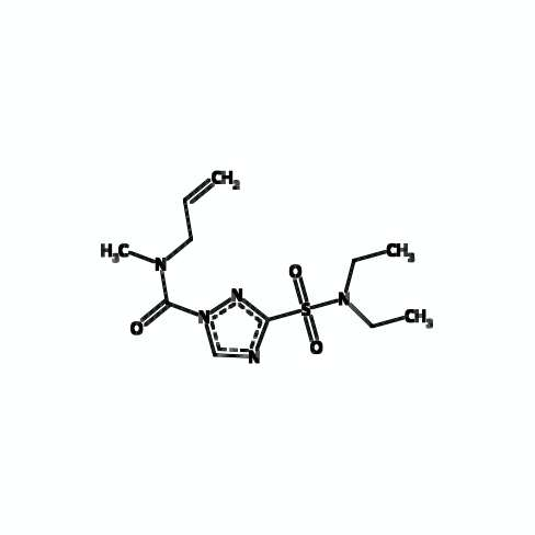 C=CCN(C)C(=O)n1cnc(S(=O)(=O)N(CC)CC)n1